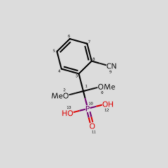 COC(OC)(c1ccccc1C#N)P(=O)(O)O